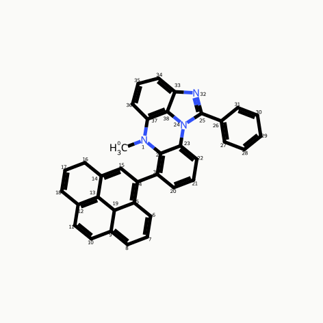 CN1c2c(C3=C4C=CC=C5C=CC6=C(C(=C3)CC=C6)C54)cccc2-n2c(-c3ccccc3)nc3cccc1c32